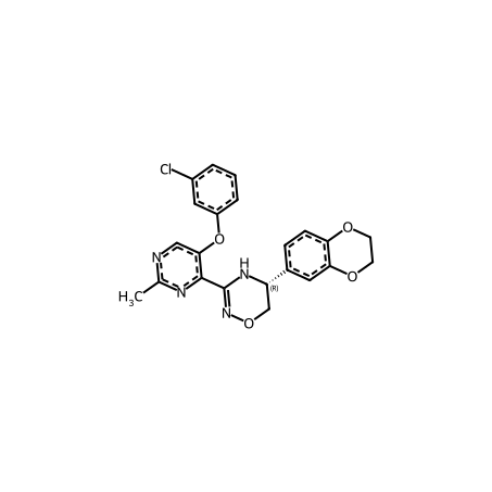 Cc1ncc(Oc2cccc(Cl)c2)c(C2=NOC[C@@H](c3ccc4c(c3)OCCO4)N2)n1